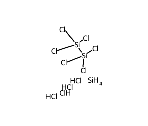 Cl.Cl.Cl.Cl.Cl[Si](Cl)(Cl)[Si](Cl)(Cl)Cl.[SiH4]